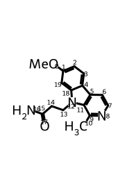 COc1ccc2c3ccnc(C)c3n(CCC(N)=O)c2c1